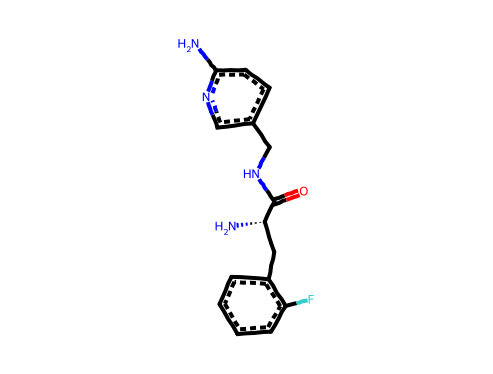 Nc1ccc(CNC(=O)[C@@H](N)Cc2ccccc2F)cn1